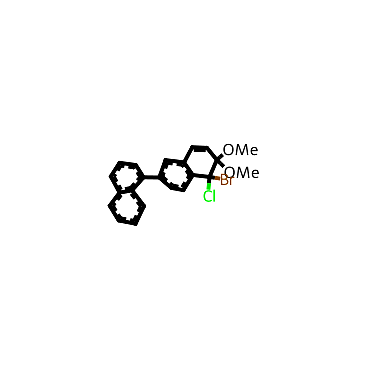 COC1(OC)C=Cc2cc(-c3cccc4ccccc34)ccc2C1(Cl)Br